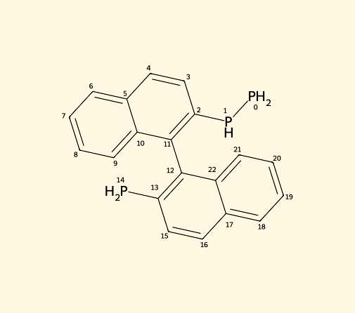 PPc1ccc2ccccc2c1-c1c(P)ccc2ccccc12